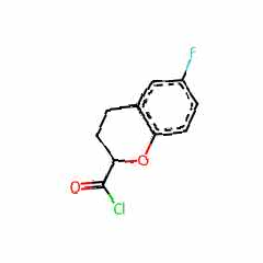 O=C(Cl)C1CCc2cc(F)ccc2O1